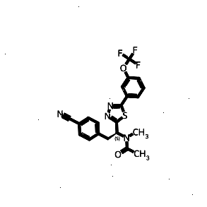 CC(=O)N(C)[C@@H](Cc1ccc(C#N)cc1)c1nnc(-c2cccc(OC(F)(F)F)c2)s1